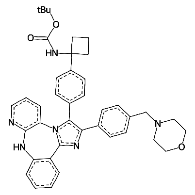 CC(C)(C)OC(=O)NC1(c2ccc(-c3c(-c4ccc(CN5CCOCC5)cc4)nc4n3-c3cccnc3Nc3ccccc3-4)cc2)CCC1